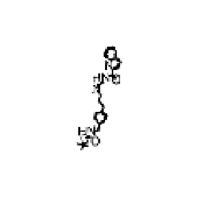 CN(CCCc1ccc(CNC(=O)OC(C)(C)C)cc1)CCNC(=O)c1ccc2ccccc2n1